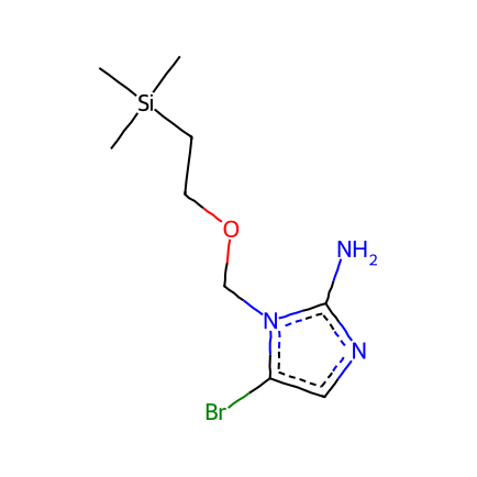 C[Si](C)(C)CCOCn1c(Br)cnc1N